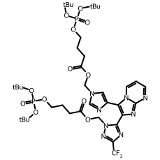 CC(C)(C)OP(=O)(OCCCC(=O)OCn1cnc(-c2c(-c3nc(C(F)(F)F)nn3COC(=O)CCCOP(=O)(OC(C)(C)C)OC(C)(C)C)nc3ncccn23)c1)OC(C)(C)C